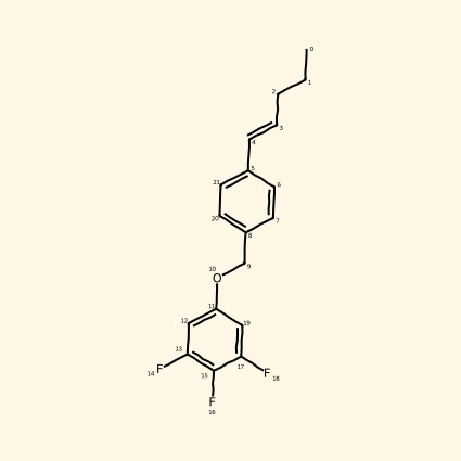 CCCC=Cc1ccc(COc2cc(F)c(F)c(F)c2)cc1